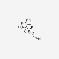 C[C@@](N)(c1ccccc1F)[C@@H](F)COCC#N